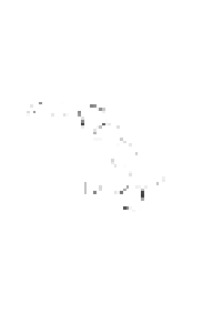 COc1ccc(CC2CCN(c3c(C#N)cccc3[N+](=O)[O-])CC2)c(F)c1